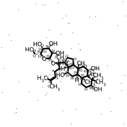 CC(C)=CCC[C@](C)(O[C@@H]1O[C@H](CO)[C@@H](O)[C@H](O)[C@H]1O)[C@H]1CC[C@]2(C)[C@@H]1[C@H](O)C[C@@H]1[C@@]3(C)CC[C@H](O)C(C)(C)[C@@H]3[C@@H](O)C[C@]12C